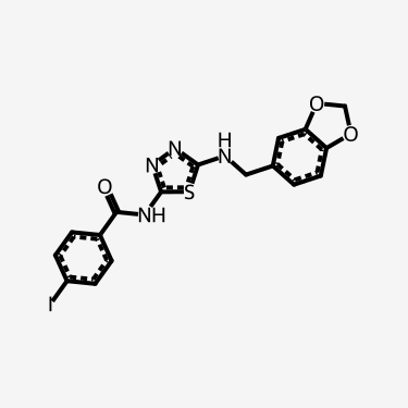 O=C(Nc1nnc(NCc2ccc3c(c2)OCO3)s1)c1ccc(I)cc1